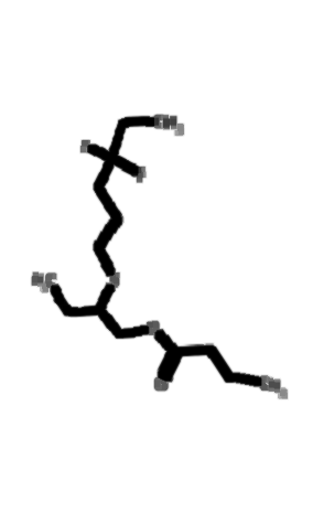 CCCC(=O)OCC(CC)SCCCC(F)(F)CC